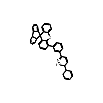 C1=CCC(C2C=CC(c3cccc(-c4cccc5c4Oc4ccccc4C54c5ccccc5C5C=CC=CC54)c3)=NN2)C=C1